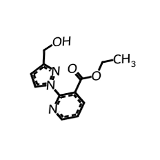 CCOC(=O)c1cccnc1-n1ccc(CO)n1